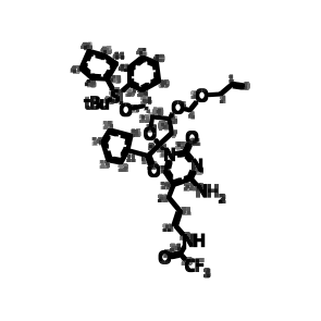 C=CCOCO[C@H]1C[C@](C(=O)c2ccccc2)(n2cc(CC=CNC(=O)C(F)(F)F)c(N)nc2=O)O[C@@H]1CO[Si](c1ccccc1)(c1ccccc1)C(C)(C)C